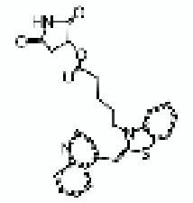 O=C1CC(OC(=O)CCCCN2C(=Cc3ccnc4ccccc34)Sc3ccccc32)C(=O)N1